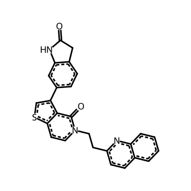 O=C1Cc2ccc(-c3csc4ccn(CCc5ccc6ccccc6n5)c(=O)c34)cc2N1